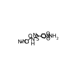 N#CN1CCC(C(=O)Nc2ncc(-c3ccc(S(N)(=O)=O)cc3)s2)C1